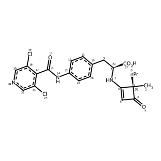 CCC[C@@]1(C)C(=O)C=C1N[C@@H](Cc1ccc(NC(=O)c2c(Cl)cncc2Cl)cc1)C(=O)O